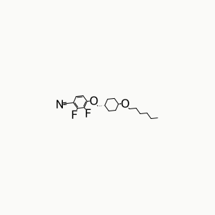 CCCCCCO[C@H]1CC[C@H](COc2ccc(C#N)c(F)c2F)CC1